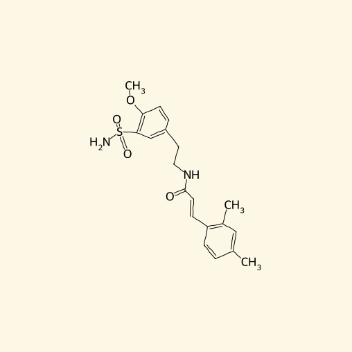 COc1ccc(CCNC(=O)/C=C/c2ccc(C)cc2C)cc1S(N)(=O)=O